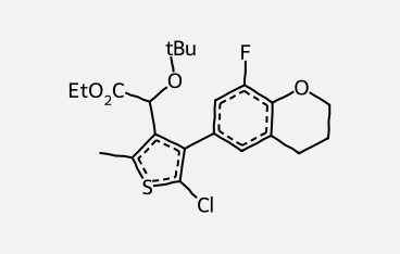 CCOC(=O)C(OC(C)(C)C)c1c(C)sc(Cl)c1-c1cc(F)c2c(c1)CCCO2